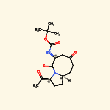 CC(=O)[C@@H]1CC[C@@H]2CCC(=O)C[C@H](NC(=O)OC(C)(C)C)C(=O)N21